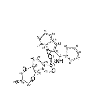 O=S(=O)(N[C@@H](c1ccccc1)c1cc2ccccc2o1)c1ccc2c(c1)OC[C@@H](F)CO2